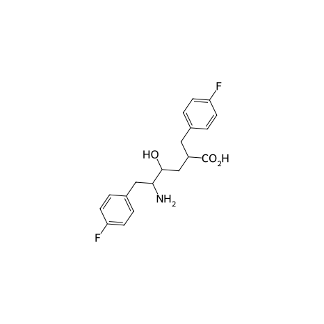 NC(Cc1ccc(F)cc1)C(O)CC(Cc1ccc(F)cc1)C(=O)O